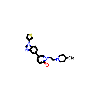 N#CC1CCN(CCn2cc(-c3ccc4c(c3)ncn4-c3ccsc3)ccc2=O)CC1